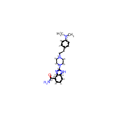 CN(C)c1ccc(CCN2CCN(c3nc4c(C(N)=O)cccc4[nH]3)CC2)cc1